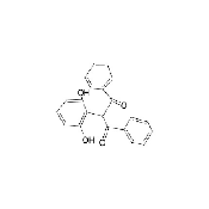 O=C(c1ccccc1)C(C(=O)c1ccccc1)c1c(O)cccc1O